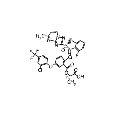 C[C@H](OC(=O)c1cc(Oc2ccc(C(F)(F)F)cc2Cl)ccc1Cl)C(=O)O.Cc1ccn2nc(S(=O)(=O)Nc3c(F)cccc3F)nc2n1